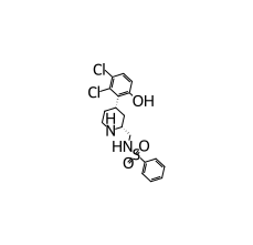 O=S(=O)(NC[C@H]1C[C@@H](c2c(O)ccc(Cl)c2Cl)CCN1)c1ccccc1